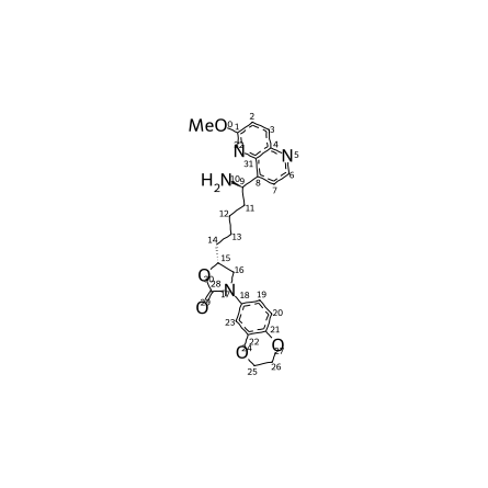 COc1ccc2nccc([C@H](N)CCCC[C@@H]3CN(c4ccc5c(c4)OCCO5)C(=O)O3)c2n1